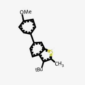 COc1ccc(-c2ccc3c(C(C)(C)C)c(C)sc3c2)cc1